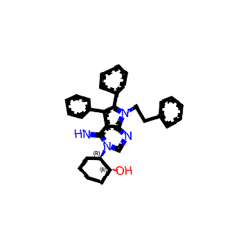 N=c1c2c(-c3ccccc3)c(-c3ccccc3)n(CCc3ccccc3)c2ncn1[C@@H]1CCCC[C@H]1O